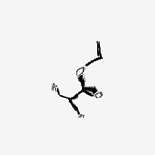 C=COC(=O)C(C(C)C)C(C)C